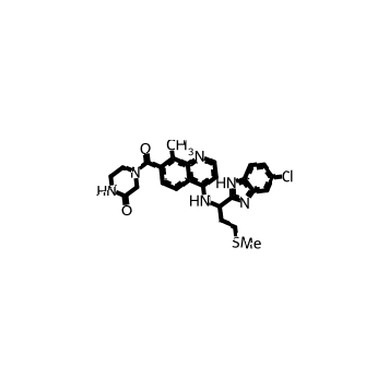 CSCCC(Nc1ccnc2c(C)c(C(=O)N3CCNC(=O)C3)ccc12)c1nc2cc(Cl)ccc2[nH]1